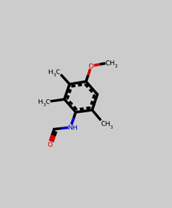 COc1cc(C)c(NC=O)c(C)c1C